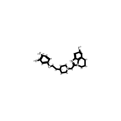 Fc1cc2c3c(c1)nc(CN1CCC(CCOc4ccc(F)c(F)c4)CC1)n3CCC2